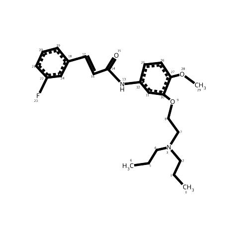 CCCN(CCC)CCOc1cc(NC(=O)C=Cc2cccc(F)c2)ccc1OC